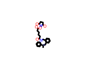 C/C1=C/c2ccccc2CN(C(=O)CCCCC(=O)ON2C(=O)CCC2=O)c2ccccc21